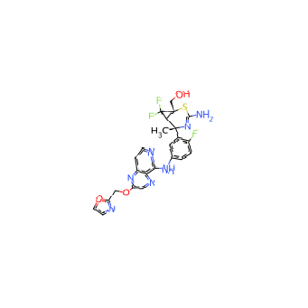 C[C@]1(c2cc(Nc3nccc4nc(OCc5ncco5)cnc34)ccc2F)N=C(N)S[C@]2(CO)C1C2(F)F